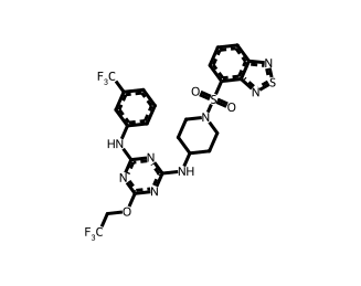 O=S(=O)(c1cccc2nsnc12)N1CCC(Nc2nc(Nc3cccc(C(F)(F)F)c3)nc(OCC(F)(F)F)n2)CC1